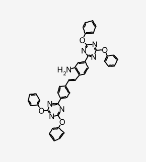 Nc1cc(-c2nc(Oc3ccccc3)nc(Oc3ccccc3)n2)ccc1C=Cc1ccc(-c2nc(Oc3ccccc3)nc(Oc3ccccc3)n2)cc1